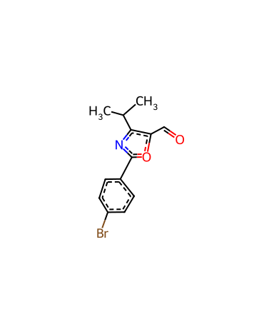 CC(C)c1nc(-c2ccc(Br)cc2)oc1C=O